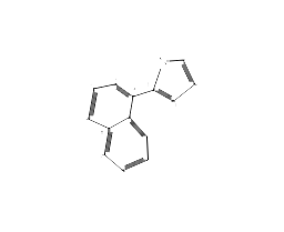 C1=C[N]C(c2cccc3ccccc23)=C1